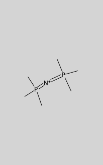 CP(C)(C)=[N+]=P(C)(C)C